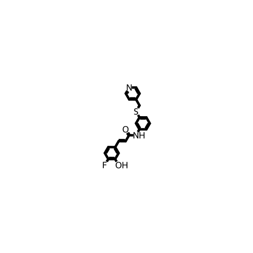 O=C(C=Cc1ccc(F)c(O)c1)Nc1cccc(SCc2ccncc2)c1